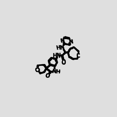 O=C(Nc1ccc2c(c1)NC(=O)C21CCOCC1)C(Nc1cnccn1)C1CCCCCCC1